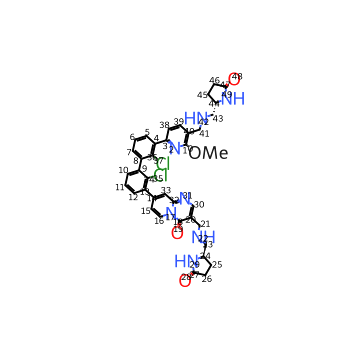 COc1nc(-c2cccc(-c3cccc(-c4ccn5c(=O)c(CNC[C@H]6CCC(=O)N6)cnc5c4)c3Cl)c2Cl)ccc1CNC[C@@H]1CCC(=O)N1